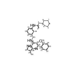 C=C(CC1CCCCC1)Nc1cccc(CNc2cc(-c3ccccc3Cl)nc3c(C)cnn23)c1